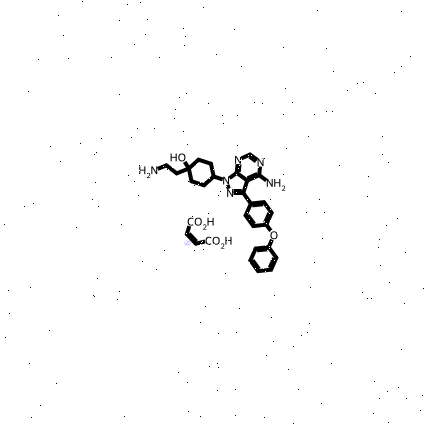 NCCC1(O)CCC(n2nc(-c3ccc(Oc4ccccc4)cc3)c3c(N)ncnc32)CC1.O=C(O)/C=C\C(=O)O